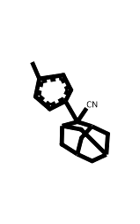 Cc1ccc(C2(C#N)C3CC4CC(C3)CC2C4)cc1